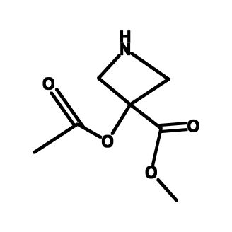 COC(=O)C1(OC(C)=O)CNC1